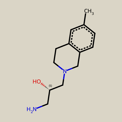 Cc1ccc2c(c1)CCN(C[C@@H](O)CN)C2